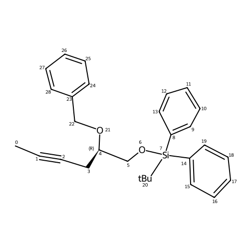 CC#CC[C@H](CO[Si](c1ccccc1)(c1ccccc1)C(C)(C)C)OCc1ccccc1